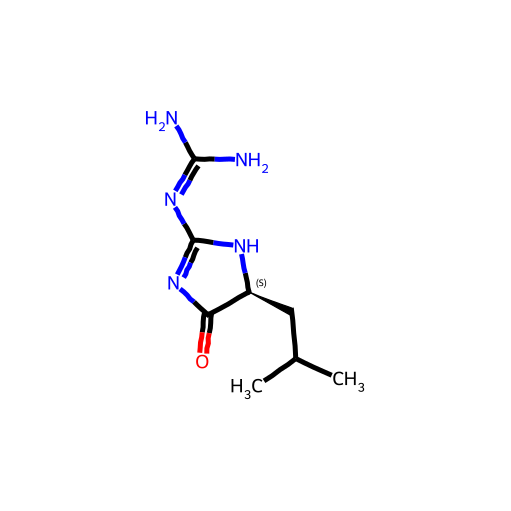 CC(C)C[C@@H]1NC(N=C(N)N)=NC1=O